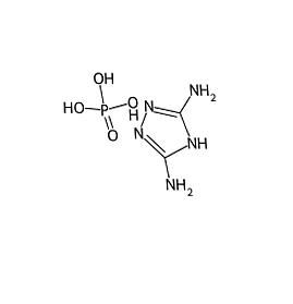 Nc1nnc(N)[nH]1.O=P(O)(O)O